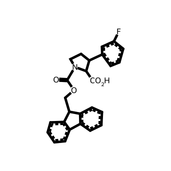 O=C(O)C1C(c2cccc(F)c2)CCN1C(=O)OCC1c2ccccc2-c2ccccc21